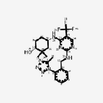 Cc1nnnn1-c1ccccc1CNc1ncc(C(F)(F)F)c(N[C@H]2CC[C@@H](O)C(C)(C)C2)n1